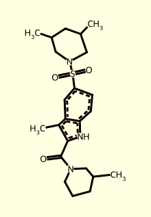 Cc1c(C(=O)N2CCCC(C)C2)[nH]c2ccc(S(=O)(=O)N3CC(C)CC(C)C3)cc12